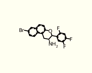 N[C@H]1Cc2c(ccc3cc(Br)ccc23)OC1c1cc(F)c(F)cc1F